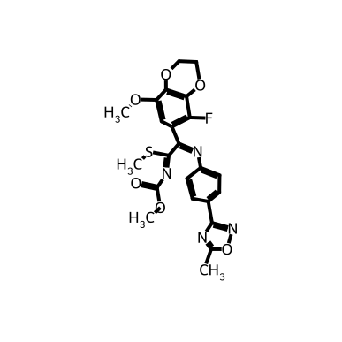 COC(=O)N=C(SC)C(=Nc1ccc(-c2noc(C)n2)cc1)c1cc(OC)c2c(c1F)OCCO2